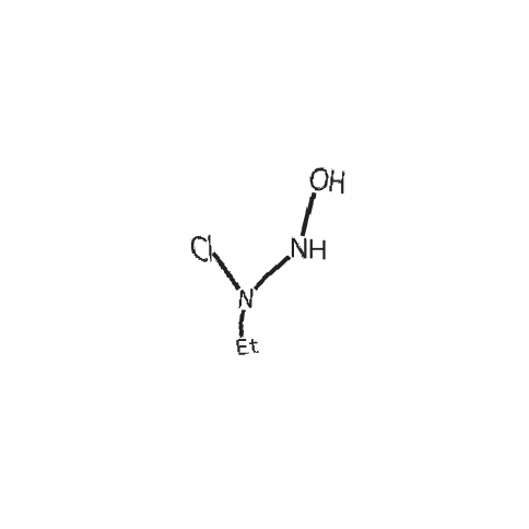 CCN(Cl)NO